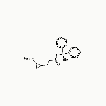 CC(C)(C)[Si](OC(=O)CCC1CC1C(=O)O)(c1ccccc1)c1ccccc1